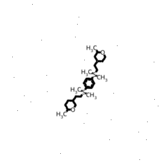 CC1CCC(CCS(C)(C)c2ccc(S(C)(C)CCC3CCOC(C)C3)cc2)CO1